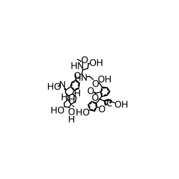 CCNC(CC(=O)O)C(NCC)Oc1ccc2c(c1)C(=NO)C[C@@H]1[C@@H]2CC[C@]2(C)[C@@H](O)[C@H](O)C[C@@H]12.O=C(O)c1cccc2c1C(=O)OC21c2ccc(O)cc2Oc2cc(O)ccc21